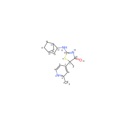 CC1(c2ccnc(C(F)(F)F)c2)SC(NC2CC3CCC2C3)=NC1=O